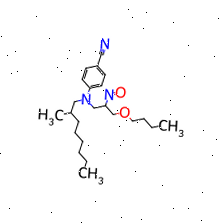 CCCCCCC(C)CN(CC(COCCCC)N=O)c1ccc(C#N)cc1